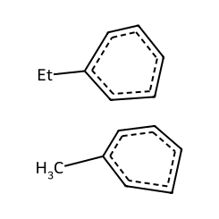 CCc1ccccc1.Cc1ccccc1